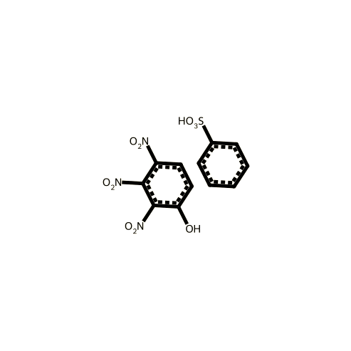 O=S(=O)(O)c1ccccc1.O=[N+]([O-])c1ccc(O)c([N+](=O)[O-])c1[N+](=O)[O-]